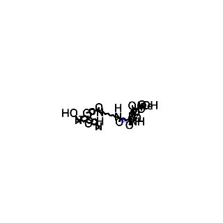 COC1C[C@H](n2cc(/C=C/C(=O)NCCCCCCNC(=O)c3ccc(C(=O)O)c(C4=C5C=CC(N(C)C)C=C5Oc5cc(N(C)C)ccc54)c3)c(=O)[nH]c2=O)O[C@@H]1COP(C)(=O)O